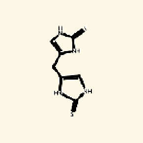 S=c1[nH]cc(Cc2c[nH]c(=S)[nH]2)[nH]1